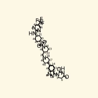 Cn1nc(N2CCC(=O)NC2=O)c2ccc(C3CCN(CC4CCCN(S(=O)(=O)C5CCC(Nc6ncc(C(F)(F)F)cn6)CC5)C4)CC3)cc21